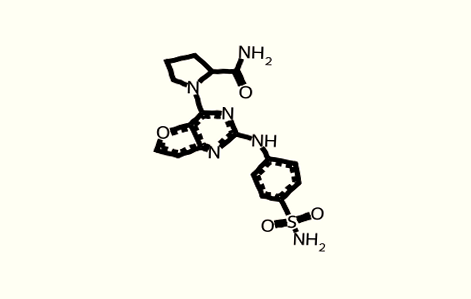 NC(=O)C1CCCN1c1nc(Nc2ccc(S(N)(=O)=O)cc2)nc2ccoc12